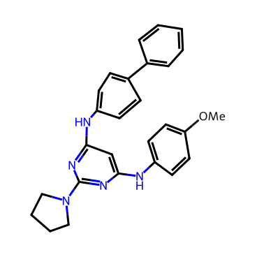 COc1ccc(Nc2cc(Nc3ccc(-c4ccccc4)cc3)nc(N3CCCC3)n2)cc1